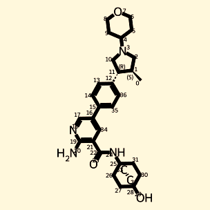 C[C@@H]1CN(C2CCOCC2)C[C@H]1c1ccc(-c2cnc(N)c(C(=O)NC34CCC(O)(CC3)CC4)c2)cc1